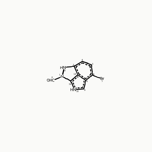 O=CN1Nc2ccc(Br)c3c[nH]c1c23